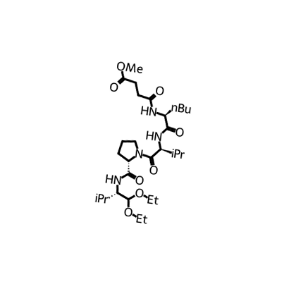 CCCC[C@H](NC(=O)CCC(=O)OC)C(=O)N[C@H](C(=O)N1CCC[C@H]1C(=O)N[C@@H](C(C)C)C(OCC)OCC)C(C)C